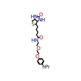 CCCc1ccc(OCCOCCNC(=O)CCCCC2SCC3NC(=O)NC32)cc1